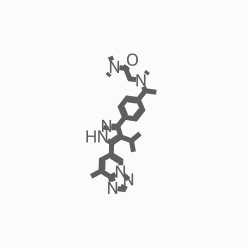 Cc1cc(-c2[nH]nc(-c3ccc(C(C)N(C)CC(=O)N(C)C)cc3)c2C(C)C)cn2ncnc12